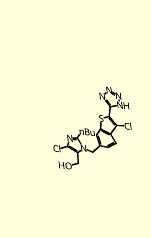 CCCCc1nc(Cl)c(CO)n1Cc1ccc2c(Cl)c(-c3nnn[nH]3)sc2c1